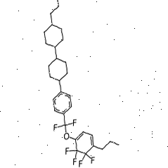 CCCC1=CC=C(OC(F)(F)c2ccc(C3CCC(C4CCC(CCC)CC4)CC3)cc2)C(F)(F)C1(F)F